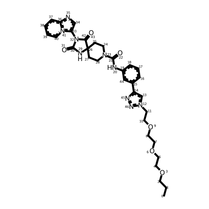 CCCOCCOCCOCCn1cc(-c2cccc(NC(=O)N3CCC4(CC3)NC(=O)N(c3cnc5ccccn35)C4=O)c2)nn1